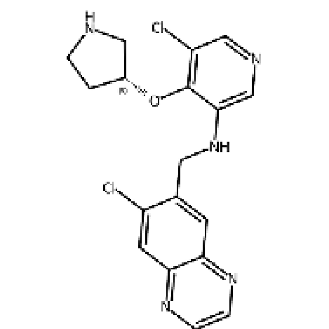 Clc1cc2nccnc2cc1CNc1cncc(Cl)c1O[C@@H]1CCNC1